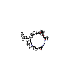 [2H]C([2H])([2H])O[C@H]1C[C@@H]2CC([2H])([2H])[C@@H](C)[C@@](O)(C2)C(=O)C(=O)N2CCCC[C@H]2C(=O)O[C@H]([C@H](C)C[C@@H]2CC[C@@H](OP(C)(C)=O)[C@H](OC)C2)CC(=O)[C@H](C([2H])([2H])[2H])/C=C(\C)[C@@H](O)[C@@H](OC)C(=O)[C@H](C)C([2H])(C)[C@]([2H])(C)/C=C/C=C/C=C/1C